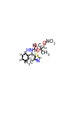 Cc1ncsc1C(NC(=O)OC(C)(C)CO[N+](=O)[O-])c1ccccc1